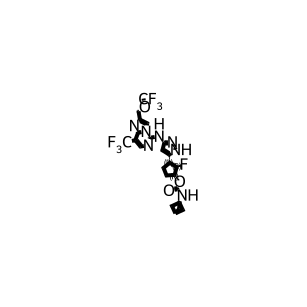 O=C(NC12CC(C1)C2)O[C@@H]1CC[C@H](c2cc(Nc3ncc(C(F)(F)F)c4nc(COC(F)(F)F)cn34)n[nH]2)[C@H]1F